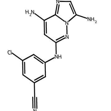 N#Cc1cc(Cl)cc(Nc2cc(N)c3ncc(N)n3n2)c1